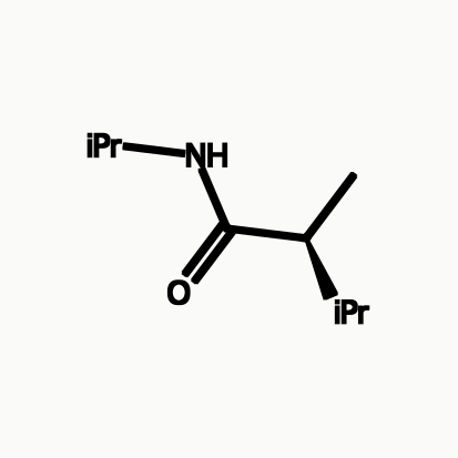 CC(C)NC(=O)[C@@H](C)C(C)C